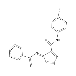 O=C(Nc1ccc(F)cc1)C1=NN=C/C1=N\C(=O)c1ccccc1